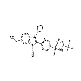 CCc1ccc2c(c1)c(C#N)c(-c1ccc(S(=O)(=O)N[C@@H](C)C(F)(F)F)cn1)n2C1CCC1